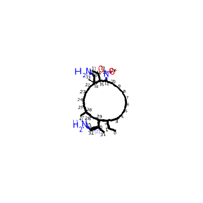 CCC1CCCCCCCCC([N+](=O)[O-])C(CC)[C@@](C)(CN)CCCCC(C)CC1/C(C)=C\N